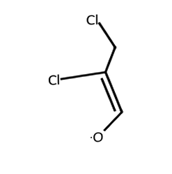 [O]C=C(Cl)CCl